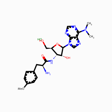 COc1ccc(C[C@H](N)C(=O)N[C@@H]2[C@@H](CO)OC(n3cnc4c(N(C)C)ncnc43)[C@@H]2O)cc1.Cl